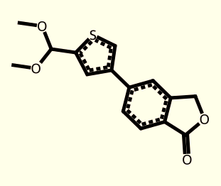 COC(OC)c1cc(-c2ccc3c(c2)COC3=O)cs1